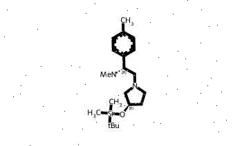 CN[C@@H](CN1CC[C@@H](O[Si](C)(C)C(C)(C)C)C1)c1ccc(C)cc1